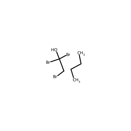 CCCC.OC(Br)(Br)CBr